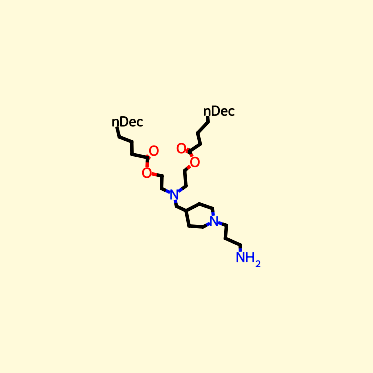 CCCCCCCCCCCCCC(=O)OCCN(CCOC(=O)CCCCCCCCCCCCC)CC1CCN(CCCN)CC1